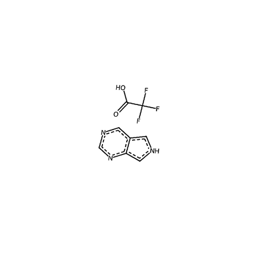 O=C(O)C(F)(F)F.c1ncc2c[nH]cc2n1